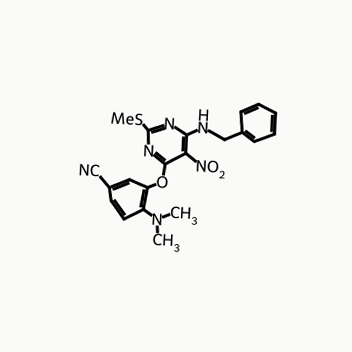 CSc1nc(NCc2ccccc2)c([N+](=O)[O-])c(Oc2cc(C#N)ccc2N(C)C)n1